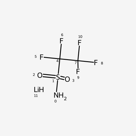 NS(=O)(=O)C(F)(F)C(F)(F)F.[LiH]